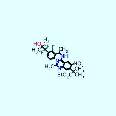 CCOC(=O)C(C)(C)c1cc2nc(C)nc(N[C@H](C)c3cccc(C(F)(F)C(C)(C)O)c3F)c2cc1[N+](=O)[O-]